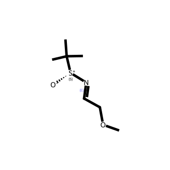 COC/C=N/[S@+]([O-])C(C)(C)C